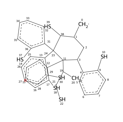 [CH2]C1CC(c2ccccc2S)C(c2ccccc2S)(C(C)[CH]S)C(c2ccccc2S)(c2ccccc2S)C1S